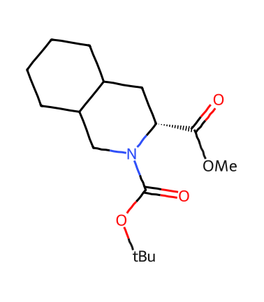 COC(=O)[C@H]1CC2CCCCC2CN1C(=O)OC(C)(C)C